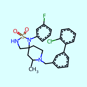 CC1CC2(CCN1Cc1cccc(-c3ccccc3Cl)c1)CNS(=O)(=O)N2c1cccc(F)c1